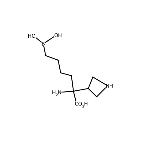 NC(CCCCB(O)O)(C(=O)O)C1CNC1